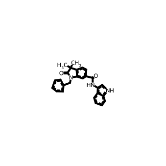 CC1(C)C(=O)N(Cc2ccccc2)c2cc(C(=O)Nc3c[nH]c4ccccc34)ccc21